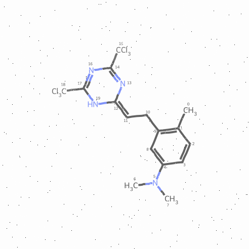 Cc1ccc(N(C)C)cc1CC=C1N=C(C(Cl)(Cl)Cl)N=C(C(Cl)(Cl)Cl)N1